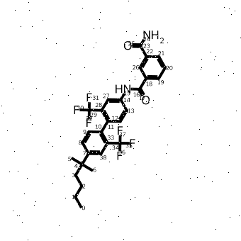 CCCCC(C)(C)c1ccc(-c2ccc(NC(=O)c3cccc(C(N)=O)c3)cc2C(F)(F)F)c(C(F)(F)F)c1